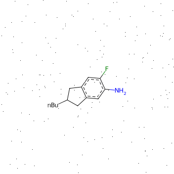 CCCCC1Cc2cc(N)c(F)cc2C1